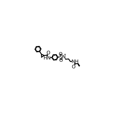 C=CC(=O)NCCCN(C)S(=O)(=O)c1ccc(NC(=O)C2CC2c2ccccc2)cc1